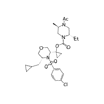 CC[C@H]1CN(C(C)=O)[C@H](C)CN1C(=O)OC1([C@H]2COC[C@@H](CC3CC3)N2S(=O)(=O)c2ccc(Cl)cc2)CC1